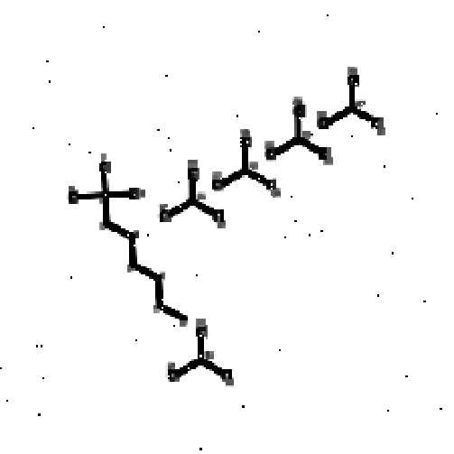 CCCCCCC(Cl)(Cl)Cl.ClC(Cl)Cl.ClC(Cl)Cl.ClC(Cl)Cl.ClC(Cl)Cl.ClC(Cl)Cl